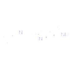 NC(=O)c1ccc2c3c1CCCC3(CCCCN1CC=C(c3ccccc3)CC1)C(=O)N2